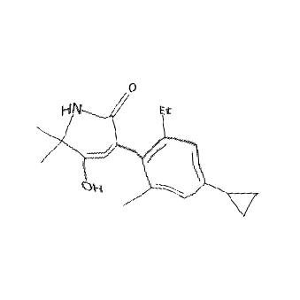 CCc1cc(C2CC2)cc(C)c1C1=C(O)C(C)(C)NC1=O